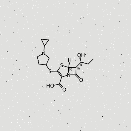 CC[C@H](O)[C@@H]1C(=O)N2C(C(=O)O)=C(SC3CCN(C4CC4)C3)S[C@H]12